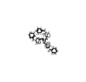 c1ccc(C[C@H]2COC(CN(CC3=N[C@@H](Cc4ccccc4)CO3)CC3=N[C@@H](Cc4ccccc4)CO3)=N2)cc1